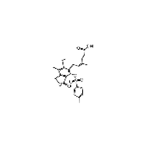 CCc1c(C)c2c(c(OS(=O)(=O)c3ccc(C)cc3)c1CC=C(C)CCC(=O)O)C(=O)OC2